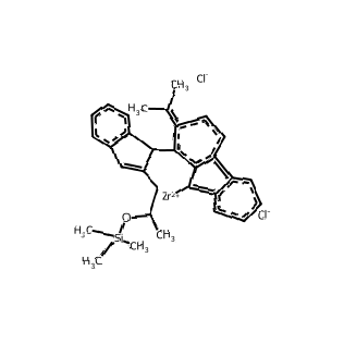 CC(C)=c1ccc2c(c1C1C(CC(C)O[Si](C)(C)C)=Cc3ccccc31)[C]([Zr+2])=c1ccccc1=2.[Cl-].[Cl-]